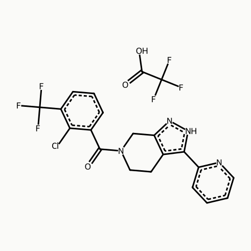 O=C(O)C(F)(F)F.O=C(c1cccc(C(F)(F)F)c1Cl)N1CCc2c(n[nH]c2-c2ccccn2)C1